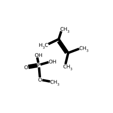 CC(C)=C(C)C.COP(=O)(O)O